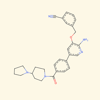 N#Cc1cccc(COc2cc(-c3ccc(C(=O)N4CCC(N5CCCC5)CC4)cc3)cnc2N)c1